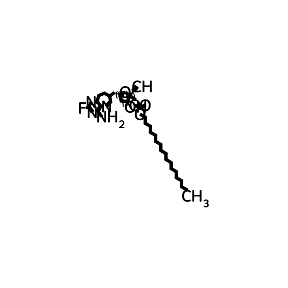 C#C[C@]1(COC(=O)OCCCCCCCCCCCCCCCCCC)O[C@@H](CC2C=Nc3c(N)nc(F)nc3CC2)C[C@@H]1O